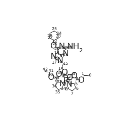 CCOC(=O)[C@@H]1CCCN1P(=O)(COCCn1cnc2c(OC3CCCCC3)nc(N)nc21)N1CCC[C@H]1C(=O)OCC